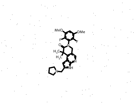 COc1cc(OC)c(F)c(N2Cc3cnc4[nH]c(CN5CCCC5)cc4c3C(C)(C)C2=O)c1F